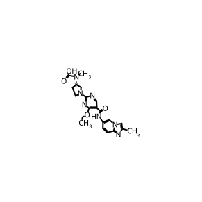 CCOc1nc(N2CC[C@H](N(C)C(=O)O)C2)ncc1C(=O)Nc1ccc2nc(C)cn2c1